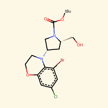 CC(C)(C)OC(=O)N1C[C@@H](N2CCOc3cc(Cl)cc(Br)c32)C[C@H]1CO